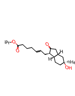 CCCCCCC[C@]1(O)CC[C@H]2[C@H](CC(=O)[C@@H]2CC=CCCCC(=O)OC(C)C)C1